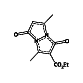 CCOC(=O)c1c(C)n2c(=O)cc(C)n2c1=O